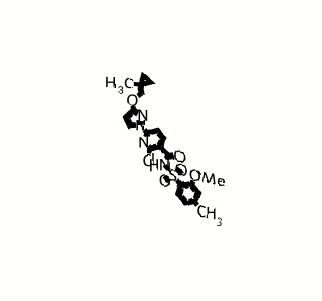 COc1cc(C)ccc1S(=O)(=O)NC(=O)c1ccc(-n2ccc(OCC3(C)CC3)n2)nc1Cl